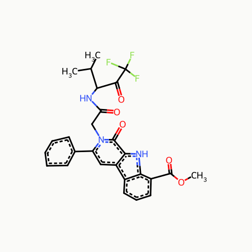 COC(=O)c1cccc2c1[nH]c1c(=O)n(CC(=O)NC(C(=O)C(F)(F)F)C(C)C)c(-c3ccccc3)cc12